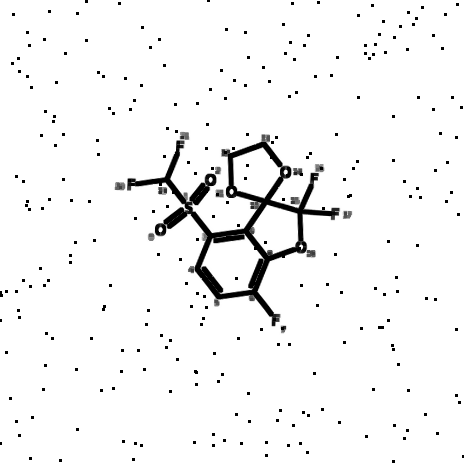 O=S(=O)(c1ccc(F)c2c1C1(OCCO1)C(F)(F)O2)C(F)F